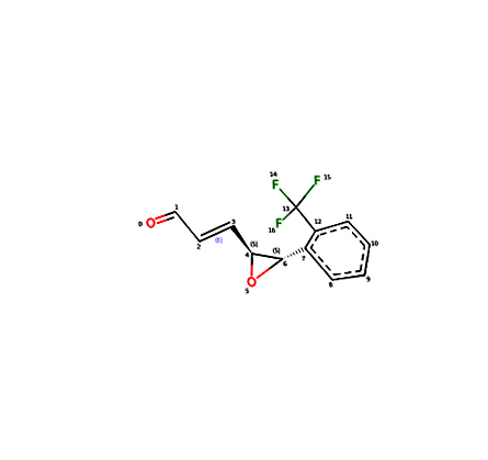 O=C/C=C/[C@@H]1O[C@H]1c1ccccc1C(F)(F)F